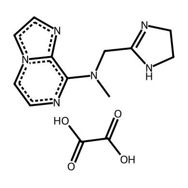 CN(CC1=NCCN1)c1nccn2ccnc12.O=C(O)C(=O)O